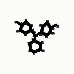 Cc1ccc([As](c2ccccc2)c2ccc(C)cc2)cc1